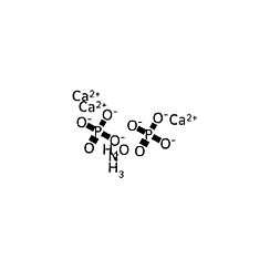 N.O.O=P([O-])([O-])[O-].O=P([O-])([O-])[O-].[Ca+2].[Ca+2].[Ca+2]